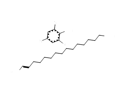 CCCCCCCCC=CCCCCCCCCCCCCCC(=O)O.O=[N+]([O-])c1cc([N+](=O)[O-])c(S(=O)(=O)O)c([N+](=O)[O-])c1